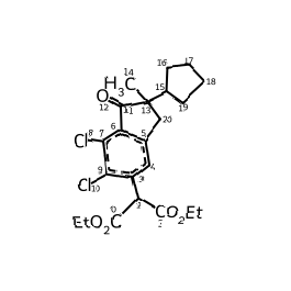 CCOC(=O)C(C(=O)OCC)c1cc2c(c(Cl)c1Cl)C(=O)C(C)(C1CCCC1)C2